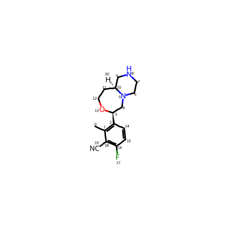 Cc1c([C@@H]2CN3CCNC[C@@H]3CCO2)ccc(F)c1C#N